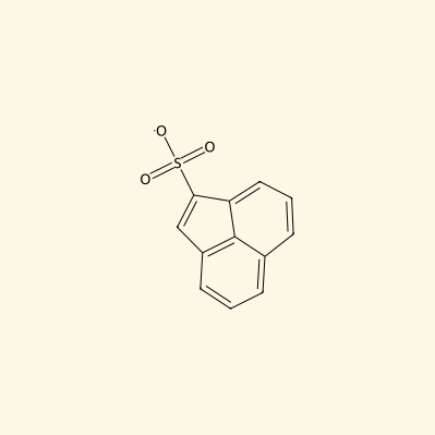 [O]S(=O)(=O)C1=Cc2cccc3cccc1c23